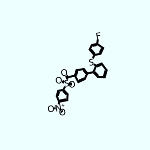 O=C(c1ccc(-c2ccccc2Sc2ccc(F)cc2)cc1)S(=O)(=O)c1ccc([N+](=O)[O-])cc1